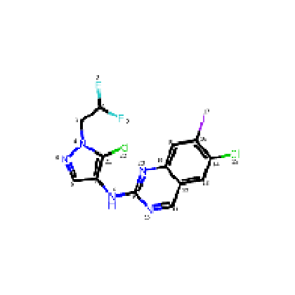 FC(F)Cn1ncc(Nc2ncc3cc(Cl)c(I)cc3n2)c1Cl